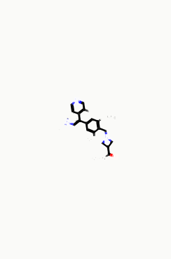 CNC(=O)C1CN(Cc2c(OC)cc(/C(=C/N(C)C)c3ccncc3C=O)cc2OC)C1